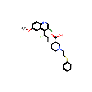 COc1ccc2ncc(Cl)c([C@@H](F)CC[C@H]3CCN(CCSc4ccccc4)C[C@H]3C(=O)O)c2c1